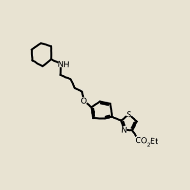 CCOC(=O)c1csc(-c2ccc(OCCCCNC3CCCCC3)cc2)n1